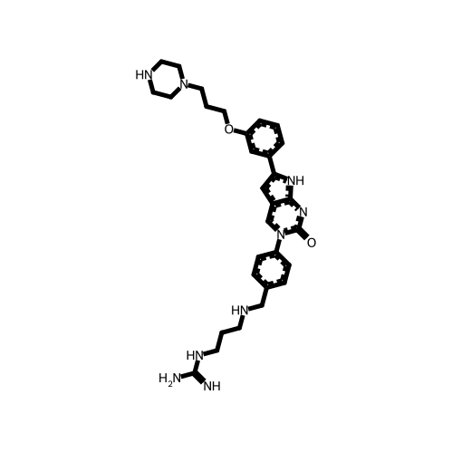 N=C(N)NCCCNCc1ccc(-n2cc3cc(-c4cccc(OCCCN5CCNCC5)c4)[nH]c3nc2=O)cc1